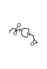 O=S(=O)(CI)N1CCN(CC2CO2)CC1